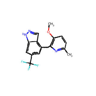 COc1ccc(C)nc1-c1cc(C(F)(F)F)cc2[nH]ncc12